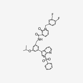 CC(C)Oc1cc(CNC(=O)c2cccn(Cc3ccc(F)c(F)c3)c2=O)cc(-c2cn(S(=O)(=O)c3ccccc3)c3ncccc23)c1